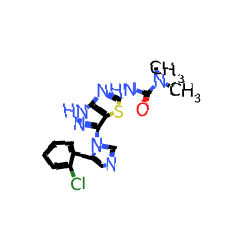 CN(C)C(=O)Nc1nc2[nH]nc(-n3cncc3-c3ccccc3Cl)c2s1